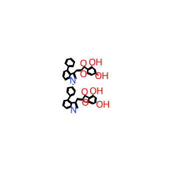 Cn1cc(C=C2Oc3cc(O)cc(O)c3C2=O)c2c(-c3ccccc3)cccc21.Cn1cc(C=C2Oc3cc(O)cc(O)c3C2=O)c2c(-c3ccccc3)cccc21